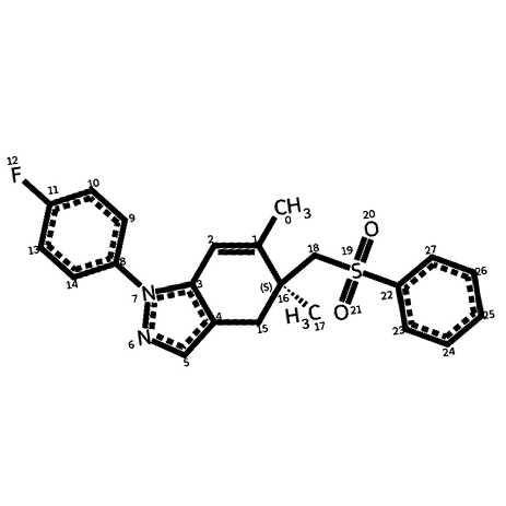 CC1=Cc2c(cnn2-c2ccc(F)cc2)C[C@]1(C)CS(=O)(=O)c1ccccc1